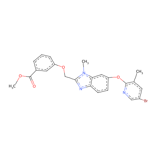 COC(=O)c1cccc(OCc2nc3ccc(Oc4ncc(Br)cc4C)cc3n2C)c1